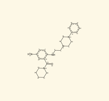 Nc1ccc(NCCN2CCN(c3ccccc3)CC2)c(C(=O)N2CCCCC2)c1